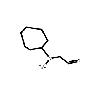 CN(CC=O)C1CCCCCC1